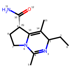 CCC1N=C(C)N2CC[C@H](C(N)=O)C2=C1C